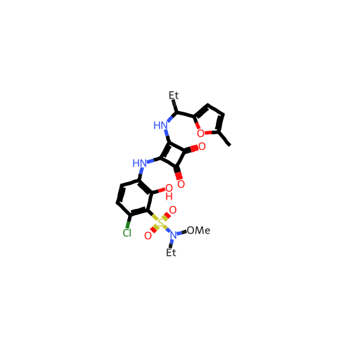 CCC(Nc1c(Nc2ccc(Cl)c(S(=O)(=O)N(CC)OC)c2O)c(=O)c1=O)c1ccc(C)o1